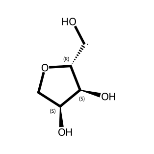 O[CH][C@H]1OC[C@H](O)[C@@H]1O